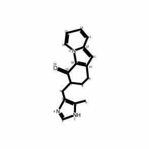 Cc1[nH]cnc1CC1CCc2cc3ccccn3c2C1=O